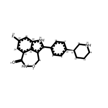 O=C1NOCc2c(-c3ccc([C@@H]4CCCNC4)cc3)[nH]c3cc(F)cc1c23